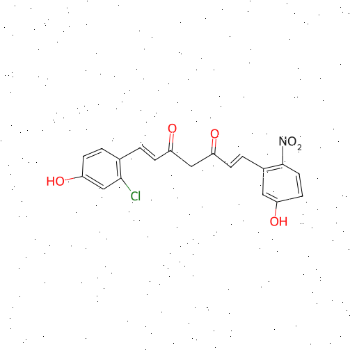 O=C(/C=C/c1ccc(O)cc1Cl)CC(=O)/C=C/c1cc(O)ccc1[N+](=O)[O-]